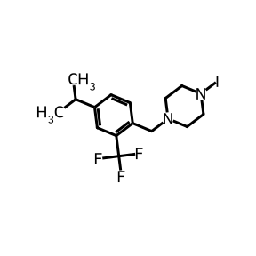 CC(C)c1ccc(CN2CCN(I)CC2)c(C(F)(F)F)c1